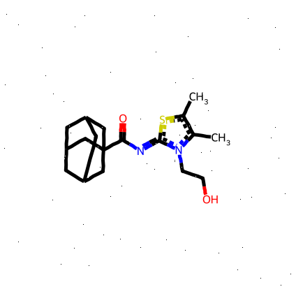 Cc1s/c(=N\C(=O)C23CC4CC(CC(C4)C2)C3)n(CCO)c1C